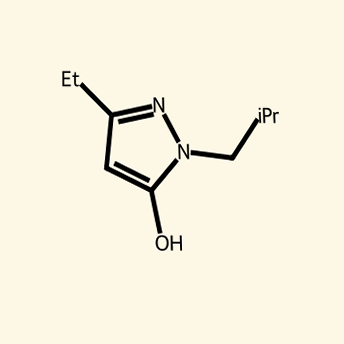 CCc1cc(O)n(CC(C)C)n1